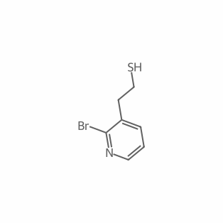 SCCc1cccnc1Br